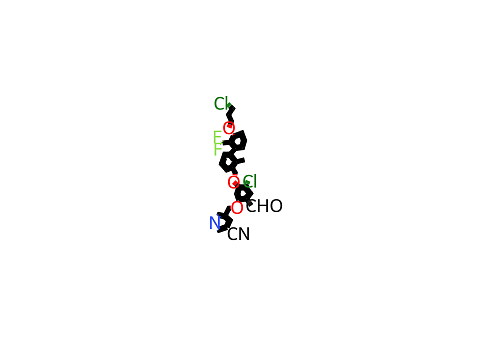 Cc1c(COc2cc(OCc3cncc(C#N)c3)c(C=O)cc2Cl)cccc1-c1cccc(OCCCCl)c1C(F)F